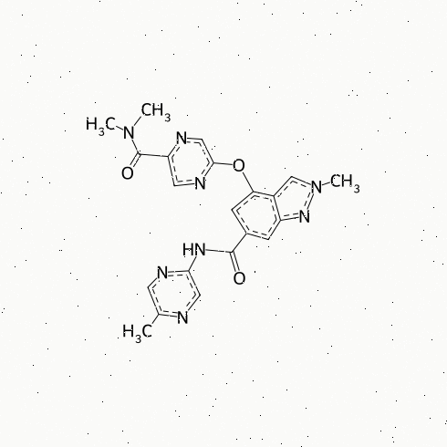 Cc1cnc(NC(=O)c2cc(Oc3cnc(C(=O)N(C)C)cn3)c3cn(C)nc3c2)cn1